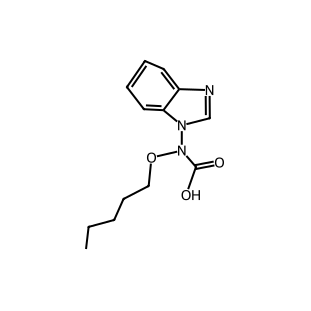 CCCCCON(C(=O)O)n1cnc2ccccc21